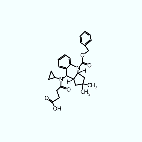 CC1(C)C[C@H]2[C@@H](C1)N(C(=O)OCc1ccccc1)c1ccccc1[C@@H]2N(C(=O)CCC(=O)O)C1CC1